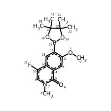 COc1cc2c(=O)n(C)cc(F)c2cc1B1OC(C)(C)C(C)(C)O1